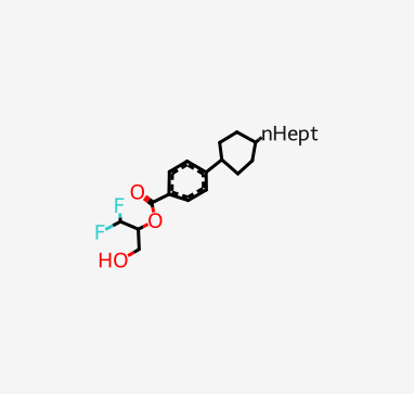 CCCCCCCC1CCC(c2ccc(C(=O)OC(CO)C(F)F)cc2)CC1